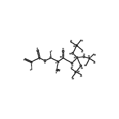 C=C(C)C(=O)OC(C)N(CCC)C(=O)O[Si](O[Si](C)(C)C)(O[Si](C)(C)C)O[Si](C)(C)C